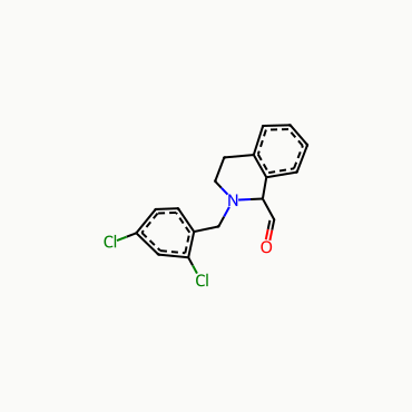 O=CC1c2ccccc2CCN1Cc1ccc(Cl)cc1Cl